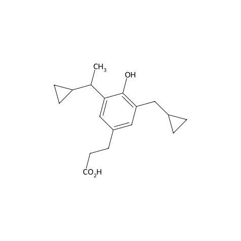 CC(c1cc(CCC(=O)O)cc(CC2CC2)c1O)C1CC1